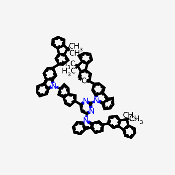 CC1(C)c2ccccc2-c2cc(-c3ccc4c5ccccc5n(-c5ccc6cc(-c7cc(-n8c9ccccc9c9ccc(-c%10ccc%11c(c%10)-c%10ccccc%10C%11(C)C)cc98)nc(-n8c9ccccc9c9ccc(-c%10ccc%11c(c%10)-c%10ccccc%10C%11(C)C)cc98)n7)ccc6c5)c4c3)ccc21